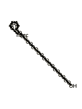 CCCCCCCCCCCCCCCCOCC(C)OCC(C)OCC(C)OCC(C)OCC(C)OCCOCCOCCOCCOCCOCCOCCOCCOCCOCCOCCOCCOCCOCCOCCOCCOCCOCCOCCOCCO